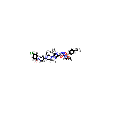 CC[C@H]1CN(c2ncc(-c3nnc(N(CC)S(=O)(=O)c4ccc(C)cc4)o3)nc2C)C(C)CN1C1CCN(C(=O)c2ccc(Cl)cc2)CC1